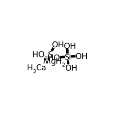 O=S(=O)(O)O.O[Si](O)(O)O.[CaH2].[MgH2]